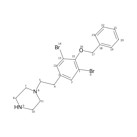 Brc1cc(CCN2CCNCC2)cc(Br)c1OCc1ccccc1